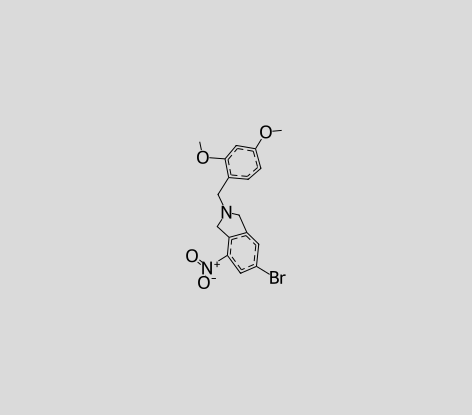 COc1ccc(CN2Cc3cc(Br)cc([N+](=O)[O-])c3C2)c(OC)c1